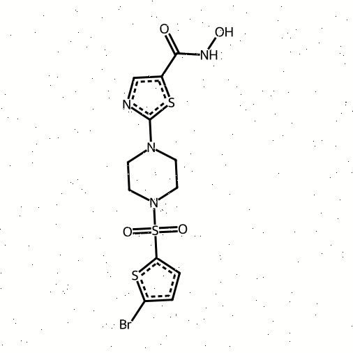 O=C(NO)c1cnc(N2CCN(S(=O)(=O)c3ccc(Br)s3)CC2)s1